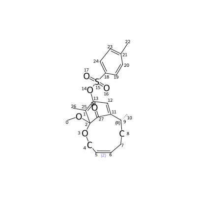 COC12OC/C=C\CC[C@@H](C)C(=CC(OS(=O)(=O)c3ccc(C)cc3)=C1C)C2=O